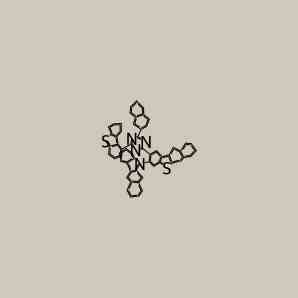 c1ccc2cc(-c3nc(-c4cc5c(cc4-n4c6ccccc6c6cc7ccccc7cc64)sc4cc6ccccc6cc45)nc(-c4cccc5sc6ccccc6c45)n3)ccc2c1